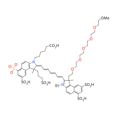 CC[N+]1=C(/C=C/C=C/C=C/C=C2/N(CCCCCC(=O)O)c3ccc4c(S(=O)(=O)[O-])cc(S(=O)(=O)O)cc4c3C2(C)CCCS(=O)(=O)O)C(C)(CCOCCOCCOCCOCCOCCOC)c2c1ccc1c(S(=O)(=O)O)cc(S(=O)(=O)O)cc21